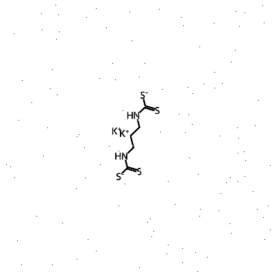 S=C([S-])NCCCNC(=S)[S-].[K+].[K+]